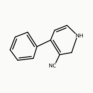 N#CC1=C(c2ccccc2)C=CNC1